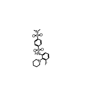 CN(C)S(=O)(=O)c1ccc(S(=O)(=O)Nc2cccc(F)c2N2CCCCC2)cc1